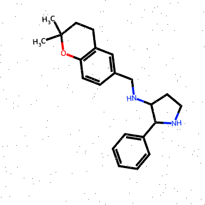 CC1(C)CCc2cc(CNC3CCNC3c3ccccc3)ccc2O1